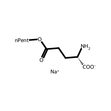 CCCCCOC(=O)CC[C@H](N)C(=O)[O-].[Na+]